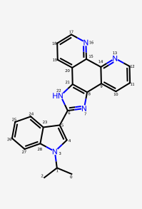 CC(C)n1cc(-c2nc3c4cccnc4c4ncccc4c3[nH]2)c2ccccc21